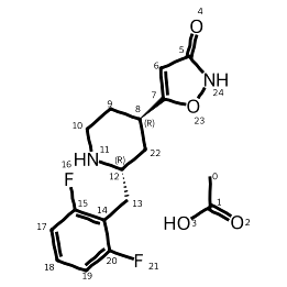 CC(=O)O.O=c1cc([C@@H]2CCN[C@@H](Cc3c(F)cccc3F)C2)o[nH]1